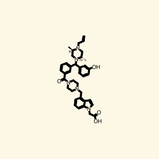 C=CCN1C[C@H](C)N(C(c2cccc(O)c2)c2cccc(C(=O)N3CCN(Cc4cccc5c4ccn5CC(=O)O)CC3)c2)C[C@H]1C